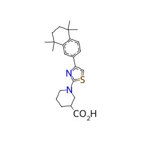 CC1(C)CCC(C)(C)c2cc(-c3csc(N4CCCC(C(=O)O)C4)n3)ccc21